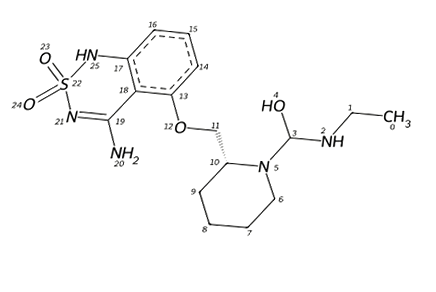 CCNC(O)N1CCCC[C@@H]1COc1cccc2c1C(N)=NS(=O)(=O)N2